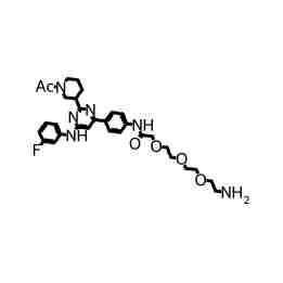 CC(=O)N1CCCC(c2nc(Nc3cccc(F)c3)cc(-c3ccc(NC(=O)COCCOCCOCCN)cc3)n2)C1